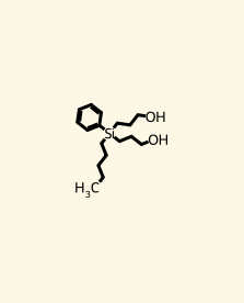 CCCCC[Si](CCCO)(CCCO)c1ccccc1